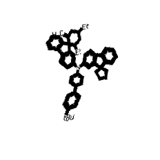 C=C1CC(CC)CC(CC)C12c1ccccc1-c1ccc(N(c3ccc(-c4ccc(C(C)(C)C)cc4)cc3)c3ccc4c(c3)C3(CCCC3)c3ccccc3-4)cc12